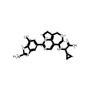 Nc1nc2cc(C3=NC=C4C(NC(C(=O)O)C5CC5)=COCC5=C4N3CC5)cc(Cl)c2o1